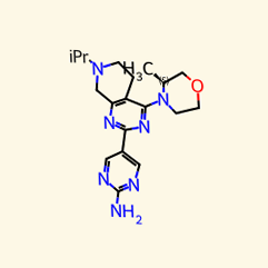 CC(C)N1CCc2c(nc(-c3cnc(N)nc3)nc2N2CCOC[C@@H]2C)C1